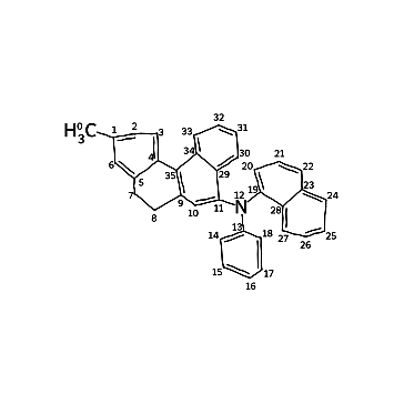 Cc1ccc2c(c1)CCc1cc(N(c3ccccc3)c3cccc4ccccc34)c3ccccc3c1-2